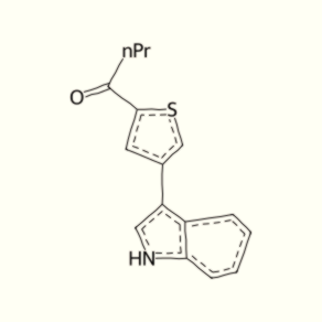 CCCC(=O)c1cc(-c2c[nH]c3ccccc23)cs1